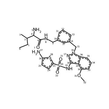 CCC(C)C(N)C(=O)NCc1cccc(Cn2nc(NS(=O)(=O)c3ccc(N)s3)c3c(OC)cccc32)c1